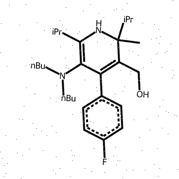 CCCCN(CCCC)C1=C(C(C)C)NC(C)(C(C)C)C(CO)=C1c1ccc(F)cc1